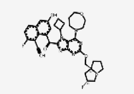 C#Cc1c(F)ccc2cc(O)cc(C(=O)c3nc4nc(OC[C@@]56CCCN5C[C@H](F)C6)nc(N5CCCOCC5)c4n3C3CCC3)c12